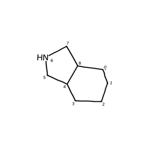 [CH]1CCCC2CNCC12